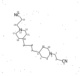 N#CCCN1CCC(CCCC2CCN(CCC#N)CC2)CC1